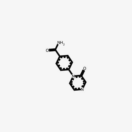 NC(=O)c1ccc(-n2ccncc2=O)cc1